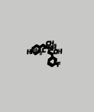 CC(C)(CC1CCNCC1)NC[C@H](O)c1cccc(F)c1